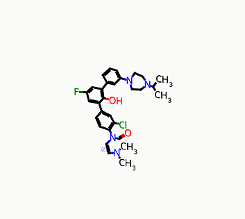 CC(C)N1CCN(c2cccc(-c3cc(F)cc(-c4ccc(N(C=O)/C=C\N(C)C)c(Cl)c4)c3O)c2)CC1